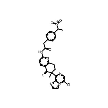 CC(c1ccc(CC(=O)Nc2ccc3c(n2)CCC(C)(c2ncc(Cl)n4ccnc24)C3=O)cc1)[SH](=O)=O